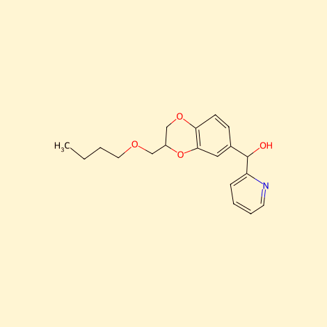 CCCCOCC1COc2ccc(C(O)c3ccccn3)cc2O1